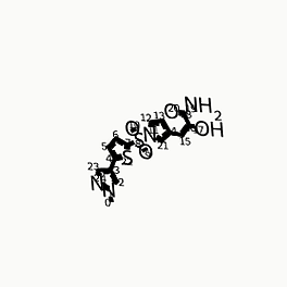 Cn1cc(-c2ccc(S(=O)(=O)n3ccc(/C=C(/O)C(N)=O)c3)s2)cn1